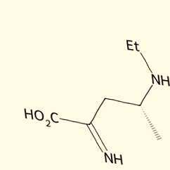 CCN[C@H](C)CC(=N)C(=O)O